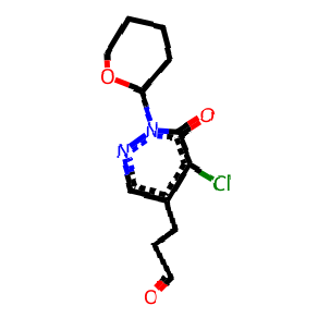 O=CCCc1cnn(C2CCCCO2)c(=O)c1Cl